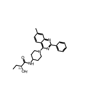 CC[C@H](O)C(=O)NC1CCN(c2nc(-c3ccccc3)nc3cc(C)ccc23)CC1